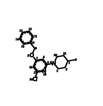 CC1CCN(c2cc(OCc3ccccc3)cc(Cl)n2)CC1